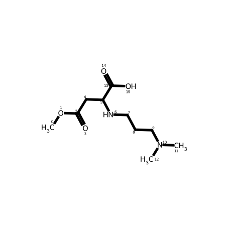 COC(=O)CC(NCCCN(C)C)C(=O)O